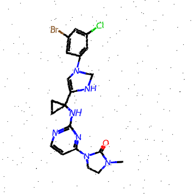 CN1CCN(c2ccnc(NC3(C4=CN(c5cc(Cl)cc(Br)c5)CN4)CC3)n2)C1=O